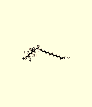 CCCCCCCCCCCCCCCCCCCCCCOC(=O)N(C)C[C@H](O)[C@@H](O)[C@H](O)[C@H](O)CO